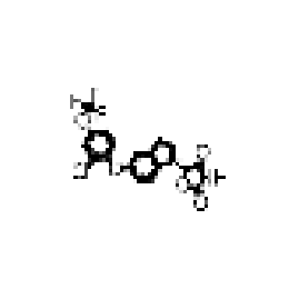 O=C1NC(=O)C([C@@H]2CCc3cc(Oc4ccc(OC(F)(F)F)cc4Cl)ccc32)O1